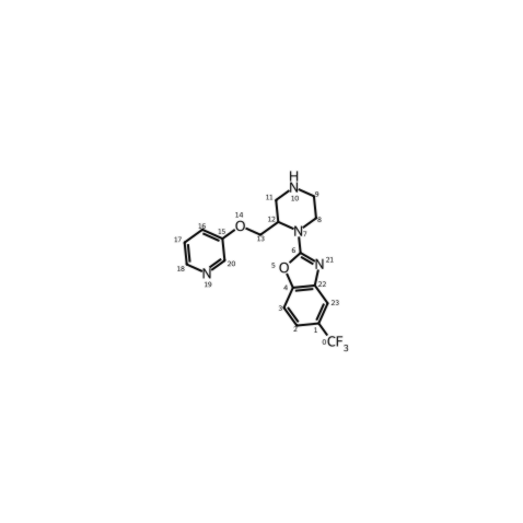 FC(F)(F)c1ccc2oc(N3CCNCC3COc3cccnc3)nc2c1